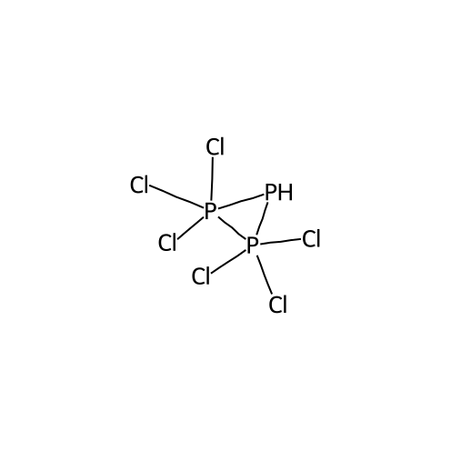 ClP1(Cl)(Cl)PP1(Cl)(Cl)Cl